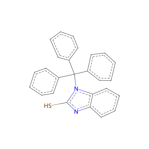 Sc1nc2ccccc2n1C(c1ccccc1)(c1ccccc1)c1ccccc1